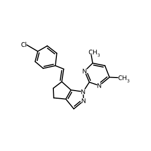 Cc1cc(C)nc(-n2ncc3c2/C(=C/c2ccc(Cl)cc2)CC3)n1